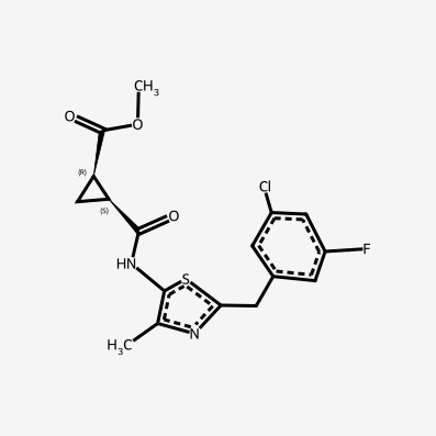 COC(=O)[C@@H]1C[C@@H]1C(=O)Nc1sc(Cc2cc(F)cc(Cl)c2)nc1C